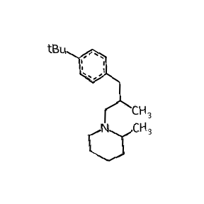 CC(Cc1ccc(C(C)(C)C)cc1)CN1CCCCC1C